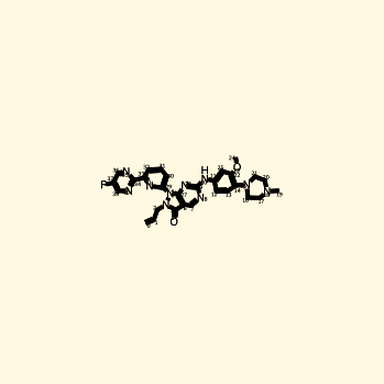 C=CCn1c(=O)c2cnc(Nc3ccc(N4CCN(C)CC4)c(OC)c3)nc2n1-c1cccc(-c2ncc(F)cn2)n1